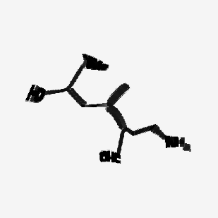 CN/C(O)=C\C(C)=C(/C=O)CN